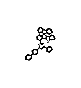 c1ccc(-c2ccc(-c3cc(-c4ccccc4)nc(-c4cccc5c4-c4sc6ccccc6c4C54c5ccccc5-c5ccccc54)n3)cc2)cc1